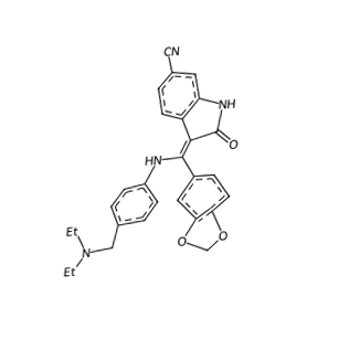 CCN(CC)Cc1ccc(NC(=C2C(=O)Nc3cc(C#N)ccc32)c2ccc3c(c2)OCO3)cc1